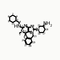 Cn1c(NCC2CCCCC2)nc2nc(N3CCCC(N)C3)n(Cc3ccccc3)c2c1=O